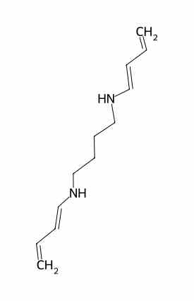 C=CC=CNCCCCNC=CC=C